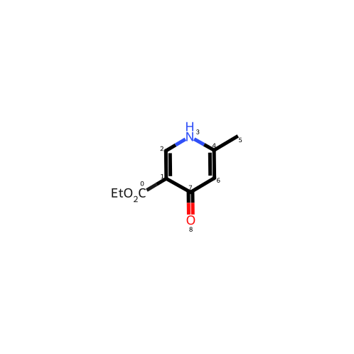 CCOC(=O)c1c[nH]c(C)cc1=O